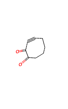 O=C1C#CCCCCC1=O